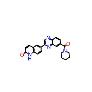 O=C(c1ccc2ncc(-c3ccc4[nH]c(=O)ccc4c3)nc2c1)N1CCCCC1